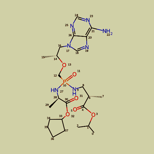 CC(C)OC(=O)[C@@H](C)CN[P@](=O)(CO[C@H](C)Cn1cnc2c(N)ncnc21)N[C@H](C)C(=O)OC1CCCC1